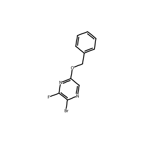 Fc1nc(OCc2ccccc2)cnc1Br